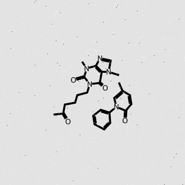 CC(=O)CCCCn1c(=O)c2c(ncn2C)n(C)c1=O.Cc1ccc(=O)n(-c2ccccc2)c1